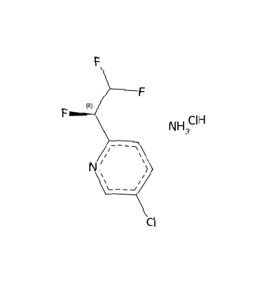 Cl.FC(F)[C@H](F)c1ccc(Cl)cn1.N